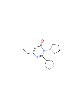 CCc1cc(=O)n(C2CCCC2)c(C2CCCC2)n1